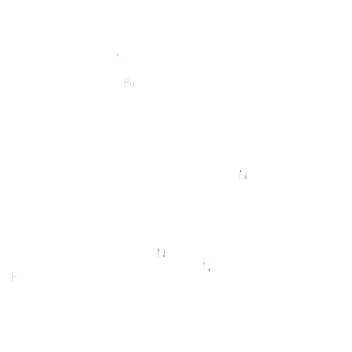 Fc1ccc(-n2cc3c4c(cc[n+]3c2)c2ccccc2n4-c2ccc(Br)cc2)cc1.[Cl-]